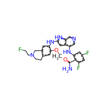 COc1cc2c(cc1Nc1cc3c(Nc4cc(F)cc(F)c4C(N)=O)cncc3[nH]1)CN(CCF)CC2